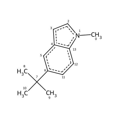 Cn1ccc2cc(C(C)(C)C)ccc21